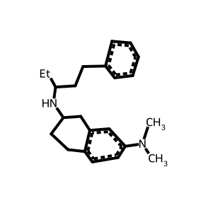 CCC(CCc1ccccc1)NC1CCc2ccc(N(C)C)cc2C1